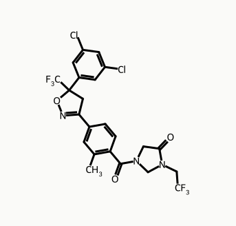 Cc1cc(C2=NOC(c3cc(Cl)cc(Cl)c3)(C(F)(F)F)C2)ccc1C(=O)N1CC(=O)N(CC(F)(F)F)C1